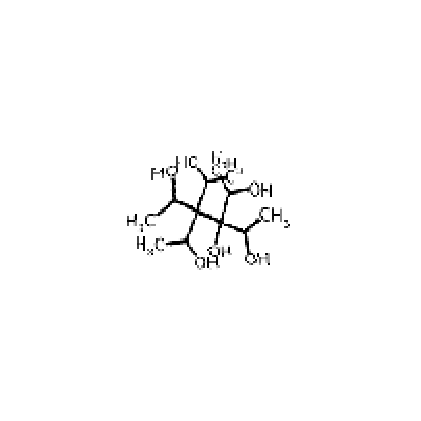 CC(O)C(O)(C(C)O)C(C(C)O)(C(C)O)C(C)O